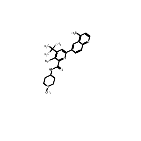 CN1CCC(NC(=O)c2nc(-c3ccc4nccc(N)c4c3)cc(C(C)(C)C)c2N)CC1